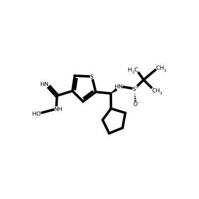 CC(C)(C)[S@+]([O-])N[C@H](c1cc(C(=N)NO)cs1)C1CCCC1